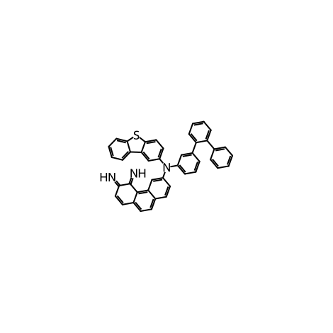 N=C1C=Cc2ccc3ccc(N(c4cccc(-c5ccccc5-c5ccccc5)c4)c4ccc5sc6ccccc6c5c4)cc3c2C1=N